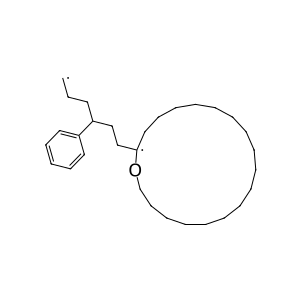 [CH2]CCC(CC[C]1CCCCCCCCCCCCCCCCCO1)c1ccccc1